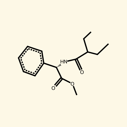 CCC(CC)C(=O)N[C@H](C(=O)OC)c1ccccc1